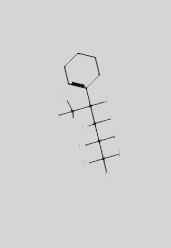 FC(F)(F)C(F)(F)C(F)(F)C(F)(C1=CCCCC1)C(F)(F)F